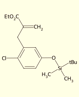 C=C(Cc1cc(O[Si](C)(C)C(C)(C)C)ccc1Cl)C(=O)OCC